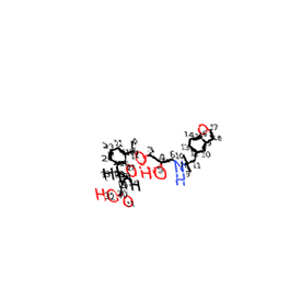 C[C@@H](OCC(O)CNC(C)(C)Cc1ccc2occc2c1)c1cccc2c1O[C@@H]1[C@@H](C(=O)O)[C@H]21